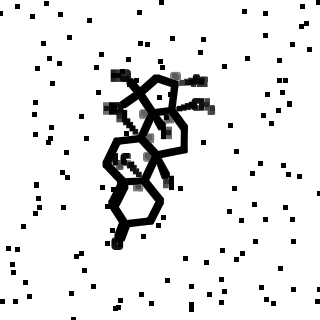 CC(=O)[C@H]1CC(O)(O)[C@H]2[C@@H]3CCC4=CC(=O)CC[C@]4(C)[C@H]3CC[C@]12C